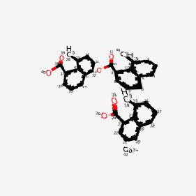 Cc1cccc2cccc(C(=O)[O-])c12.Cc1cccc2cccc(C(=O)[O-])c12.Cc1cccc2cccc(C(=O)[O-])c12.[Ga+3]